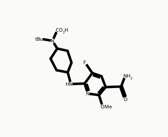 COc1nc(NC2CCC(N(C(=O)O)C(C)(C)C)CC2)c(F)cc1C(N)=O